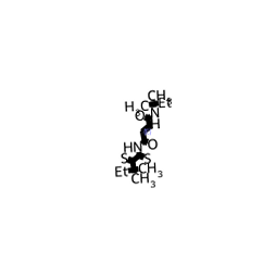 CCC(C)(C)NC(=O)/C=C/C(=O)NC(=S)C(=S)C(C)(C)CC